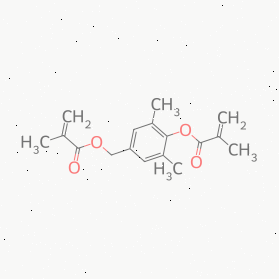 C=C(C)C(=O)OCc1cc(C)c(OC(=O)C(=C)C)c(C)c1